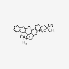 Cc1c2c(cc3ccccc13)Oc1c3ccc(CC(C)(C)C#N)cc3cc3cc[n+](C)c-2c13